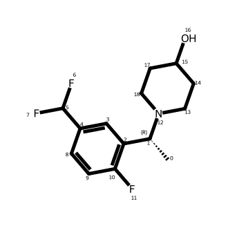 C[C@H](c1cc(C(F)F)ccc1F)N1CCC(O)CC1